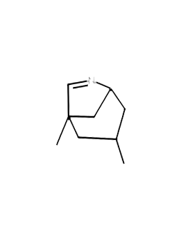 CC1CC2CC(C)(C=N2)C1